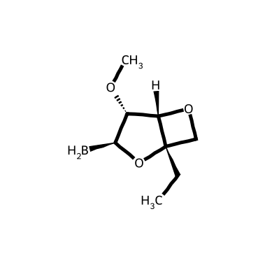 B[C@@H]1O[C@@]2(CC)CO[C@H]2[C@H]1OC